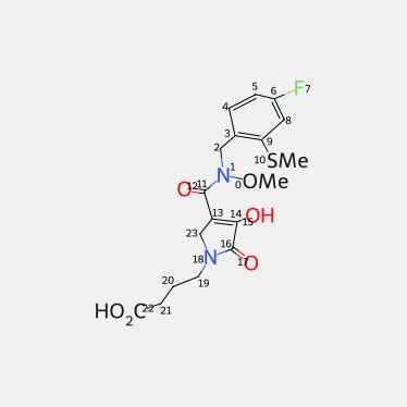 CON(Cc1ccc(F)cc1SC)C(=O)C1=C(O)C(=O)N(CCCC(=O)O)C1